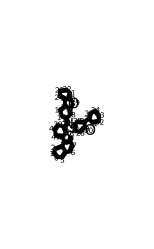 c1ccc2c(c1)ccc1sc3c(N(c4ccc5c(c4)oc4ccccc45)c4ccc5oc6ccccc6c5c4)cccc3c12